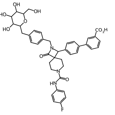 O=C(O)c1cccc(-c2ccc(C3N(Cc4ccc(CC5OC(CO)C(O)C(O)C5O)cc4)C(=O)C34CCN(C(=O)Nc3ccc(F)cc3)CC4)cc2)c1